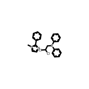 ClC(Cl)CB(c1ccccc1)c1ccccc1.Cn1ccnc1-c1ccccc1